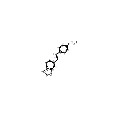 O=C(O)c1ccc(/N=C/c2ccc3c(c2)OCO3)cc1